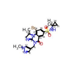 C[C@@H]1CN=C2N(Cc3cnn(C)c3)C(=O)c3cc(S(=O)(=O)NC4(C)CC4)cc(Br)c3N21